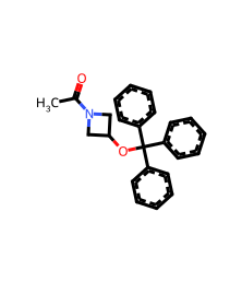 CC(=O)N1CC(OC(c2ccccc2)(c2ccccc2)c2ccccc2)C1